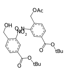 CC(=O)OCc1ccc(C(=O)OC(C)(C)C)cc1[N+](=O)[O-].CC(C)(C)OC(=O)c1ccc(CO)c([N+](=O)[O-])c1